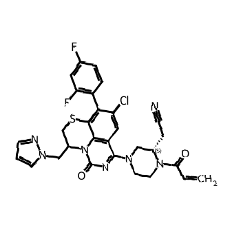 C=CC(=O)N1CCN(c2nc(=O)n3c4c(c(-c5ccc(F)cc5F)c(Cl)cc24)SCC3Cn2cccn2)C[C@@H]1CC#N